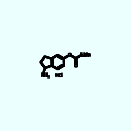 CNC(=O)Oc1ccc2c(c1)CCC2N.Cl